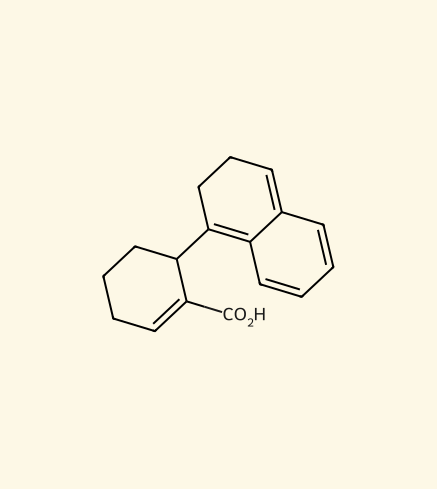 O=C(O)C1=CCCCC1C1=c2ccccc2=CCC1